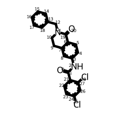 O=C(Nc1ccc2c(c1)CCN(Cc1ccccc1)C2=O)c1ccc(Cl)cc1Cl